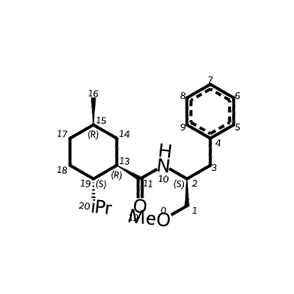 COC[C@H](Cc1ccccc1)NC(=O)[C@@H]1C[C@H](C)CC[C@H]1C(C)C